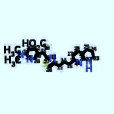 CN(C)c1ccc([C@H](CC(=O)O)c2nc(CCCc3ccc4c(n3)NCCC4)cs2)cn1